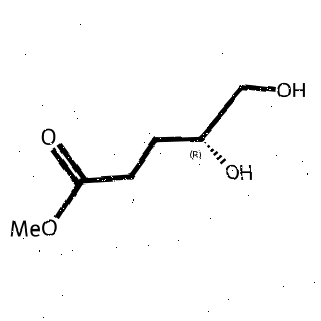 COC(=O)CC[C@@H](O)CO